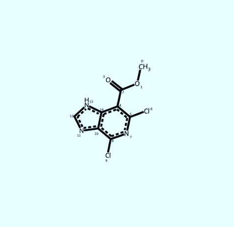 COC(=O)c1c(Cl)nc(Cl)c2nc[nH]c12